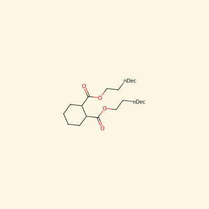 CCCCCCCCCCCCOC(=O)C1CCCCC1C(=O)OCCCCCCCCCCCC